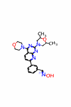 CC1CN(c2nc(N3CCOCC3)c3ccc(-c4cccc(/C=N/O)c4)nc3n2)CC(C)O1